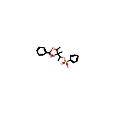 CCCCC(C)(C(C)OC(=O)c1ccccc1)C(C)OS(=O)(=O)c1ccccc1